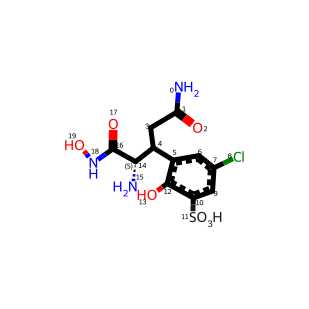 NC(=O)CC(c1cc(Cl)cc(S(=O)(=O)O)c1O)[C@H](N)C(=O)NO